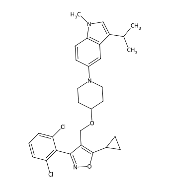 CC(C)c1cn(C)c2ccc(N3CCC(OCc4c(-c5c(Cl)cccc5Cl)noc4C4CC4)CC3)cc12